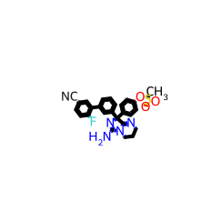 CS(=O)(=O)Oc1ccc(C2(c3cccc(-c4cc(C#N)ccc4F)c3)N=C(N)N3CCCN=C32)cc1